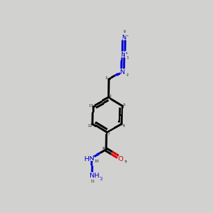 [N-]=[N+]=NCc1ccc(C(=O)NN)cc1